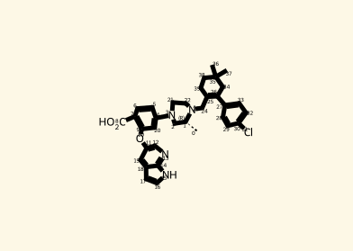 C[C@@H]1CN(c2ccc(C(=O)O)c(Oc3cnc4[nH]ccc4c3)c2)CCN1CC1=C(c2ccc(Cl)cc2)CC(C)(C)CC1